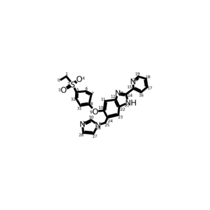 CCS(=O)(=O)c1ccc(Oc2cc3nc(-c4ccccn4)[nH]c3cc2Cn2ccnc2)cc1